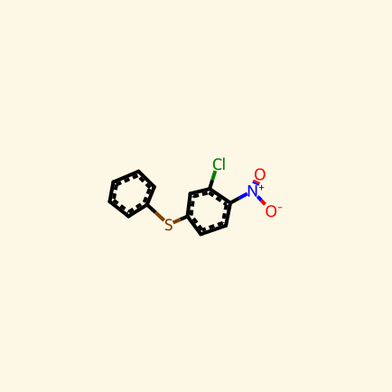 O=[N+]([O-])c1ccc(Sc2ccccc2)cc1Cl